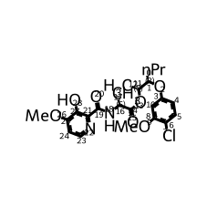 CCC[C@@H](Oc1ccc(Cl)c(OC)c1)[C@H](C)OC(=O)[C@H](C)NC(=O)c1nccc(OC)c1O